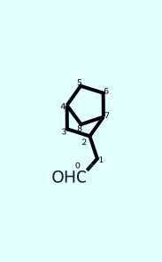 O=CCC1CC2CCC1C2